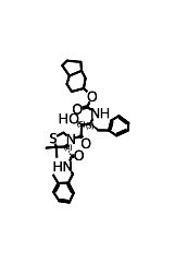 Cc1ccccc1CNC(=O)[C@H]1N(C(=O)[C@@H](O)[C@H](Cc2ccccc2)NC(=O)OC2CCC3CCCC3C2)CSC1(C)C